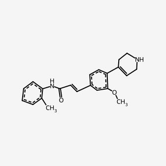 COc1cc(/C=C/C(=O)Nc2ccccc2C)ccc1C1=CCNCC1